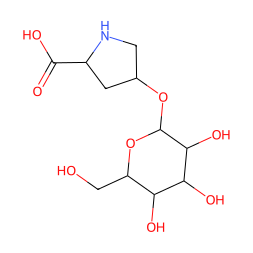 O=C(O)C1CC(OC2OC(CO)C(O)C(O)C2O)CN1